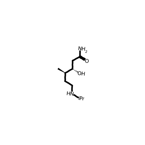 CC(C)NCC[C@@H](C)[C@@H](O)CC(N)=O